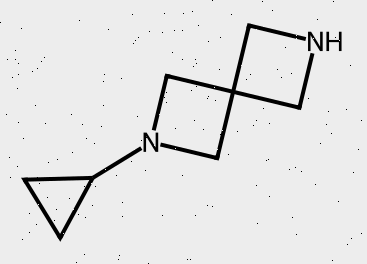 C1CC1N1CC2(CNC2)C1